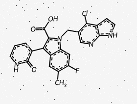 Cc1cc2c(-c3ccc[nH]c3=O)c(C(=O)O)n(Cc3cnc4[nH]ccc4c3Cl)c2cc1F